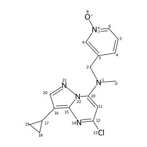 CN(Cc1ccc[n+]([O-])c1)c1cc(Cl)nc2c(C3CC3)cnn12